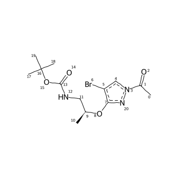 CC(=O)n1cc(Br)c(O[C@@H](C)CNC(=O)OC(C)(C)C)n1